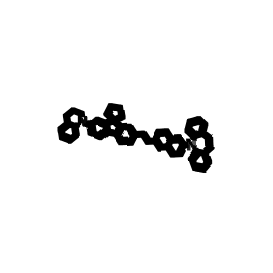 C1=Cc2ccccc2N(c2ccc3cc(/C=C/c4ccc5c(c4)C4(CCCC4)c4cc(N6CCCc7ccccc76)ccc4-5)ccc3c2)c2ccccc21